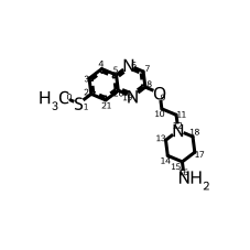 CSc1ccc2ncc(OCCN3CCC(N)CC3)nc2c1